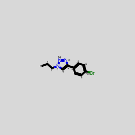 CCCn1cc(-c2ccc(Br)cc2)nn1